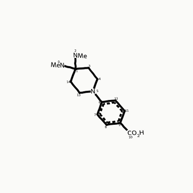 CNC1(NC)CCN(c2ccc(C(=O)O)cc2)CC1